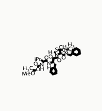 CO[C@H](C)OC(=O)NC(C(=O)N[C@@H](Cc1ccccc1)[C@H](O)C(=O)N1CSC(C)(C)[C@H]1C(=O)NCc1ccccc1C)C(C)C